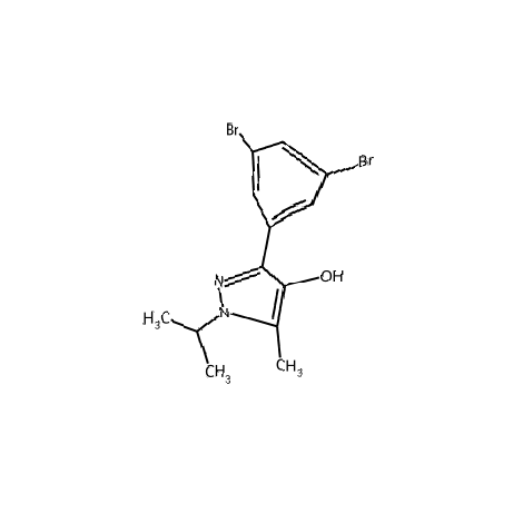 Cc1c(O)c(-c2cc(Br)cc(Br)c2)nn1C(C)C